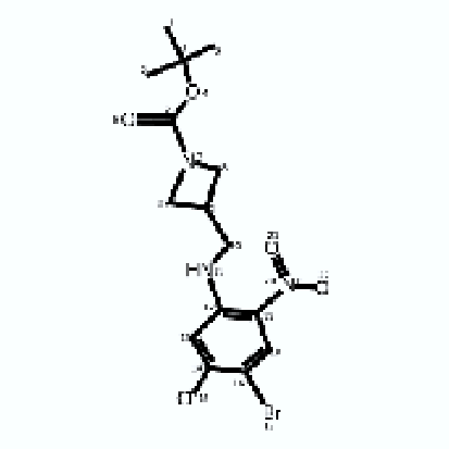 CC(C)(C)OC(=O)N1CC(CNc2cc(Cl)c(Br)cc2[N+](=O)[O-])C1